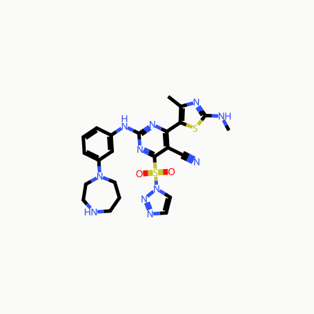 CNc1nc(C)c(-c2nc(Nc3cccc(N4CCCNCC4)c3)nc(S(=O)(=O)n3ccnn3)c2C#N)s1